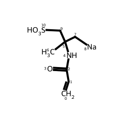 C=CC(=O)NC(C)([CH2][Na])CS(=O)(=O)O